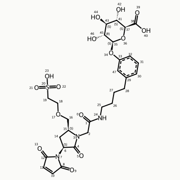 O=C(CN1C(=O)[C@@H](N2C(=O)C=CC2=O)C[C@H]1COCCS(=O)(=O)O)NCCCCc1cccc(O[C@@H]2O[C@H](C(=O)O)[C@@H](O)[C@H](O)[C@H]2O)c1